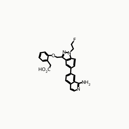 Nc1nccc2ccc(-c3ccc4c(c3)c(COc3ccccc3CC(=O)O)nn4CCF)cc12